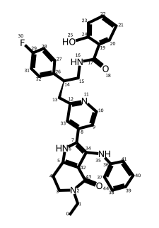 CCN1CCc2[nH]c(-c3ccnc(C[C@H](CNC(=O)c4ccccc4O)c4ccc(F)cc4)c3)c(Nc3ccccc3)c2C1=O